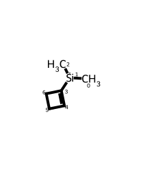 C[Si](C)C1=CCC1